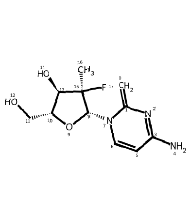 C=C1N=C(N)C=CN1[C@@H]1O[C@H](CO)[C@@H](O)[C@@]1(C)F